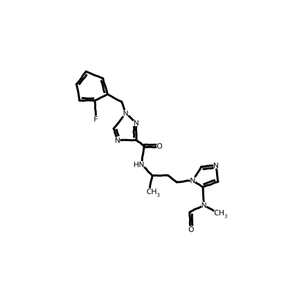 CC(CCn1cncc1N(C)C=O)NC(=O)c1ncn(Cc2ccccc2F)n1